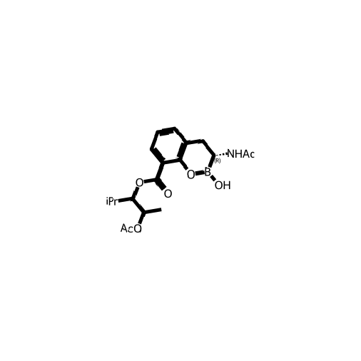 CC(=O)N[C@H]1Cc2cccc(C(=O)OC(C(C)C)C(C)OC(C)=O)c2OB1O